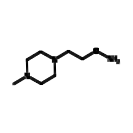 CN1CCN(CCON)CC1